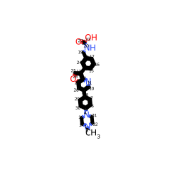 CN1CCN(c2ccc(-c3cnc4c(-c5cccc(CNC(=O)O)c5)coc4c3)cc2)CC1